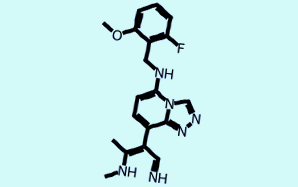 CN/C(C)=C(\C=N)c1ccc(NCc2c(F)cccc2OC)n2cnnc12